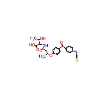 CC(CC(=O)NC(C(=O)O)C(C)O)Oc1ccc(C(=O)c2ccc(N=C=S)cc2)cc1